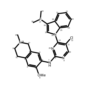 COc1cc2c(cc1Nc1ncc(Cl)c(-n3cc(P(C)C)c4ccccc43)n1)CN(C)CC2